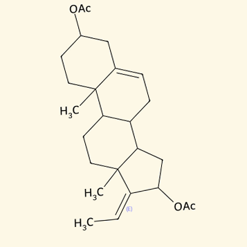 C/C=C1/C(OC(C)=O)CC2C3CC=C4CC(OC(C)=O)CCC4(C)C3CCC12C